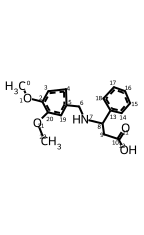 COc1ccc(CNC(CC(=O)O)c2ccccc2)cc1OC